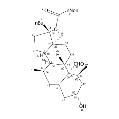 CCCCCCCCCC(=O)O[C@@]1(CCCC)CC[C@H]2[C@@H]3[C@H](C)C=C4C[C@@H](O)C[C@H](C)[C@]4(C=O)[C@H]3CC[C@@]21C